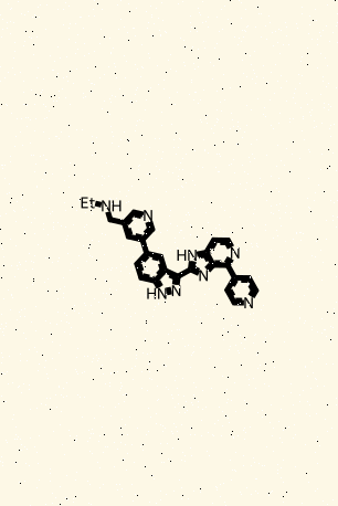 CCNCc1cncc(-c2ccc3[nH]nc(-c4nc5c(-c6ccncc6)nccc5[nH]4)c3c2)c1